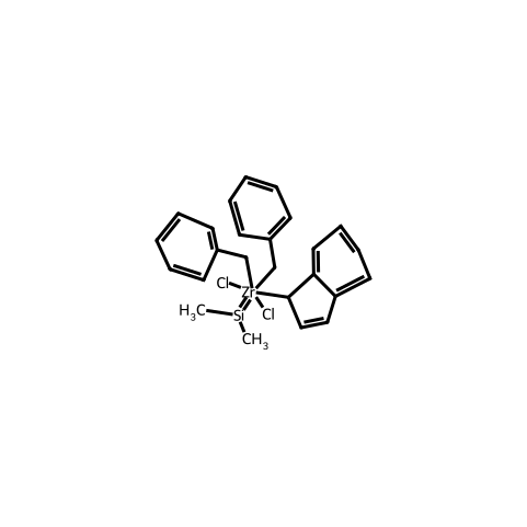 C[Si](C)=[Zr]([Cl])([Cl])([CH2]c1ccccc1)([CH2]c1ccccc1)[CH]1C=Cc2ccccc21